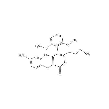 CCCCc1[nH]c(=O)c(Sc2ccc(N)cc2)c(O)c1-c1c(OC)cccc1OC